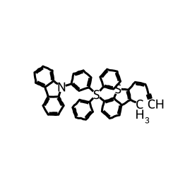 C#C/C=C\c1sc2c(S(c3ccccc3)(c3ccccc3)c3cccc(-n4c5ccccc5c5ccccc54)c3)cccc2c1C